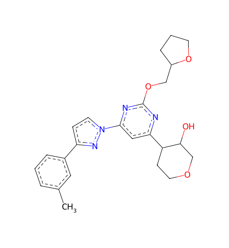 Cc1cccc(-c2ccn(-c3cc(C4CCOCC4O)nc(OCC4CCCO4)n3)n2)c1